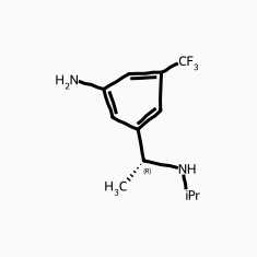 CC(C)N[C@H](C)c1cc(N)cc(C(F)(F)F)c1